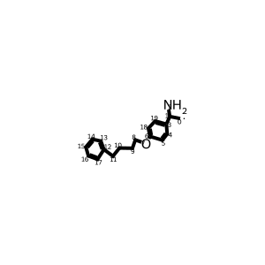 [CH2]C(N)c1ccc(OCCCCc2ccccc2)cc1